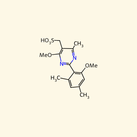 COc1cc(C)cc(C)c1-c1nc(C)c(CS(=O)(=O)O)c(OC)n1